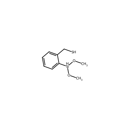 CO[SiH](OC)c1ccccc1CS